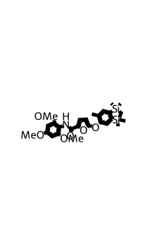 COc1cc(OC)c(NC(=O)c2ccc(Oc3cc4c(cc3C)[Si](C)(C)C[Si]4(C)C)o2)c(OC)c1